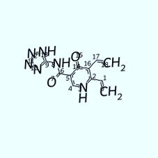 C=Cc1[nH]cc(C(=O)Nc2nnn[nH]2)c(=O)c1C=C